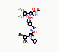 Cc1c(C(=O)NC2COC2C2CCC3(CCN(S(=O)(=O)n4c(-c5cc(C(C)(C)C)cc(C(C)(C)C)c5)cc(C(=O)NC5COC5)c4C)C3)C2)cc(-c2cc(C(C)(C)C)cc(C(F)(F)F)c2)n1CC1CCCCC1